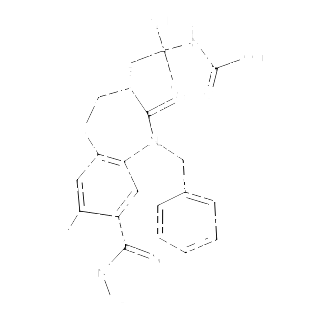 CC(C)(C[C@H]1CSc2cc(F)c(C(=N)NO)cc2N(Cc2ccccc2)C1=O)NC(=O)O